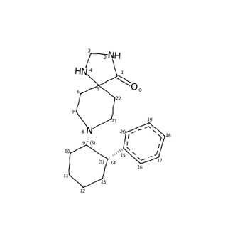 O=C1NCNC12CCN([C@H]1CCCC[C@H]1c1ccccc1)CC2